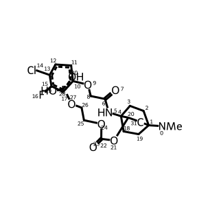 CNC12CCC(NC(=O)COc3ccc(Cl)c(F)c3)(CC1)C(OC(=O)OCCOP(O)O)C2